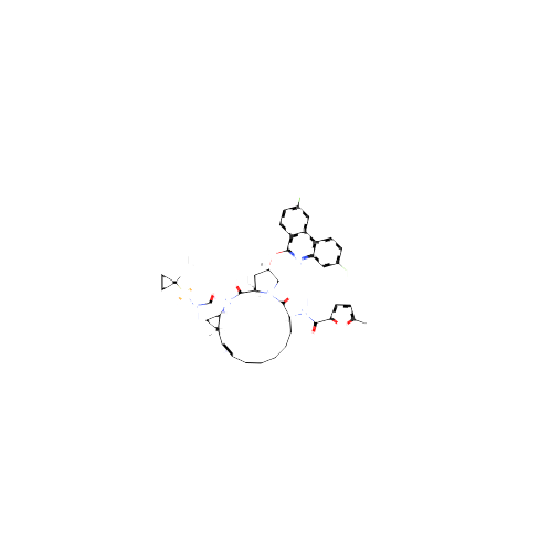 Cc1ccc(C(=O)N[C@H]2CCCCC/C=C\[C@@H]3C[C@@]3(C(=O)NS(=O)(=O)C3(C)CC3)NC(=O)[C@@H]3C[C@@H](Oc4nc5cc(F)ccc5c5cc(F)ccc45)CN3C2=O)o1